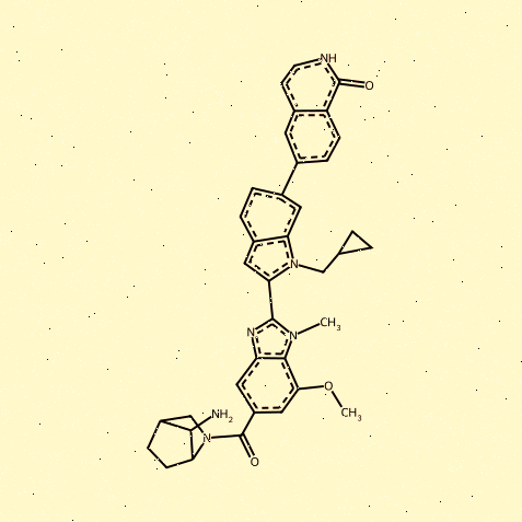 COc1cc(C(=O)N2CC3CCC2C3N)cc2nc(-c3cc4ccc(-c5ccc6c(=O)[nH]ccc6c5)cc4n3CC3CC3)n(C)c12